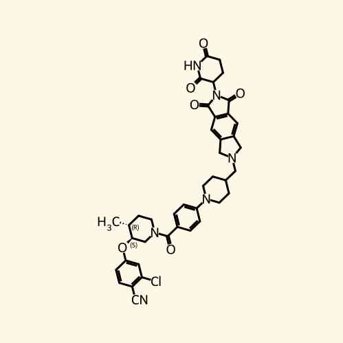 C[C@@H]1CCN(C(=O)c2ccc(N3CCC(CN4Cc5cc6c(cc5C4)C(=O)N(C4CCC(=O)NC4=O)C6=O)CC3)cc2)C[C@H]1Oc1ccc(C#N)c(Cl)c1